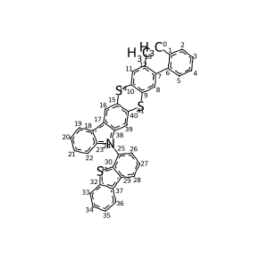 Cc1ccccc1-c1cc2c(cc1C)Sc1cc3c4ccccc4n(-c4cccc5c4sc4ccccc45)c3cc1S2